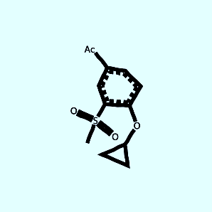 CC(=O)c1ccc(OC2CC2)c(S(C)(=O)=O)c1